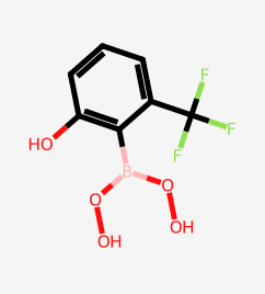 OOB(OO)c1c(O)cccc1C(F)(F)F